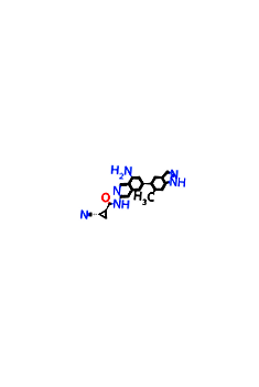 Cc1cc2[nH]ncc2cc1-c1cc(N)c2cnc(NC(=O)[C@H]3C[C@@H]3C#N)cc2c1